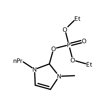 CCCN1C=CN(C)C1OP(=O)(OCC)OCC